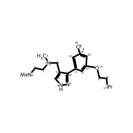 CNCCN(C)Cc1c[nH]nc1-c1cc(OCCC(C)C)cc(C(F)(F)F)c1